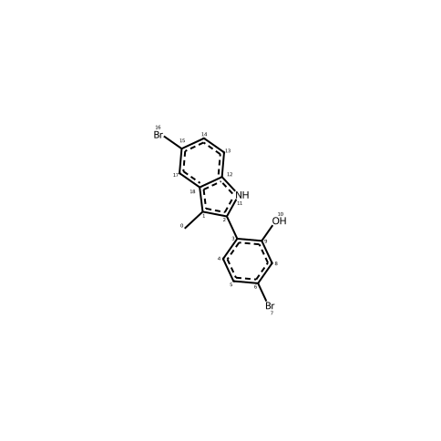 Cc1c(-c2ccc(Br)cc2O)[nH]c2ccc(Br)cc12